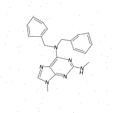 CNc1nc(N(Cc2ccccc2)Cc2ccccc2)c2ncn(C)c2n1